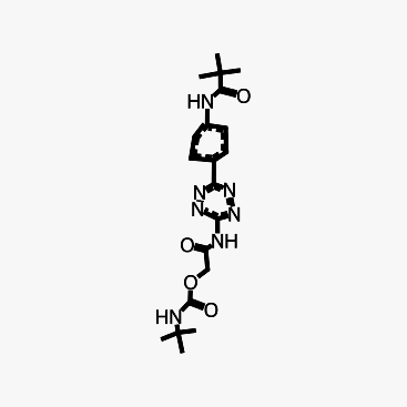 CC(C)(C)NC(=O)OCC(=O)Nc1nnc(-c2ccc(NC(=O)C(C)(C)C)cc2)nn1